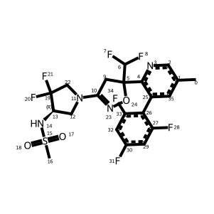 Cc1cnc(C2(C(F)F)CC(N3C[C@@H](NS(C)(=O)=O)C(F)(F)C3)=NO2)c(-c2c(F)cc(F)cc2F)c1